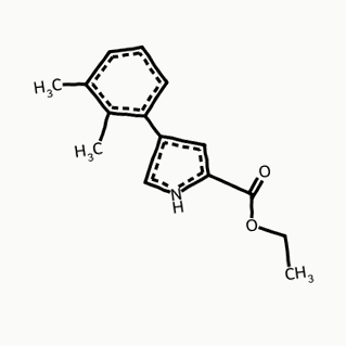 CCOC(=O)c1cc(-c2cccc(C)c2C)c[nH]1